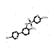 COc1ccc(S(=O)(=O)Nc2cc(-c3ccc(C#N)cn3)ccc2C)cn1